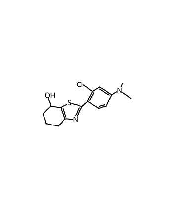 CN(C)c1ccc(-c2nc3c(s2)C(O)CCC3)c(Cl)c1